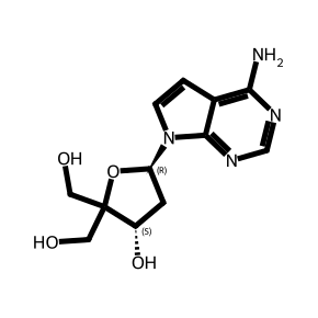 Nc1ncnc2c1ccn2[C@H]1C[C@H](O)C(CO)(CO)O1